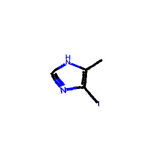 Cc1[nH]cnc1I